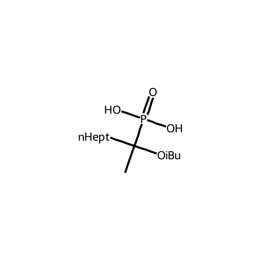 CCCCCCCC(C)(OCC(C)C)P(=O)(O)O